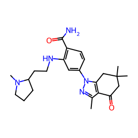 Cc1nn(-c2ccc(C(N)=O)c(NCCC3CCCN3C)c2)c2c1C(=O)CC(C)(C)C2